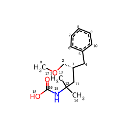 COC[C@H](Cc1ccccc1)CC(C)(C)NC(=O)O